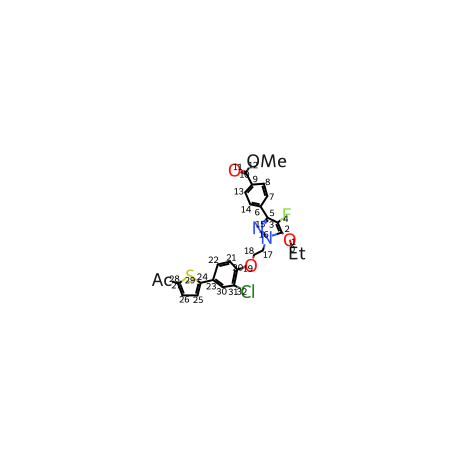 CCOc1c(F)c(-c2ccc(C(=O)OC)cc2)nn1CCOc1ccc(-c2ccc(C(C)=O)s2)cc1Cl